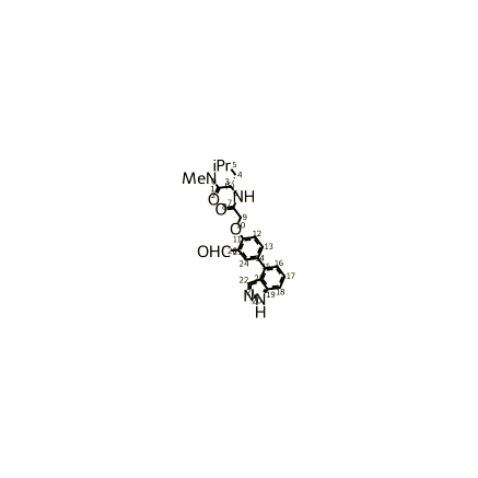 CNC(=O)[C@H](CC(C)C)NC(=O)COc1ccc(-c2cccc3[nH]ncc23)cc1C=O